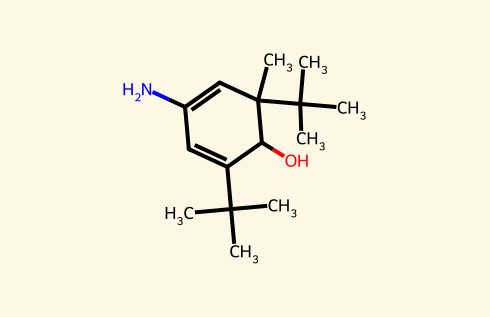 CC(C)(C)C1=CC(N)=CC(C)(C(C)(C)C)C1O